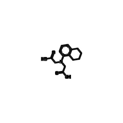 O=C(O)CN(CC(=O)O)c1cccc2c1CCCC2